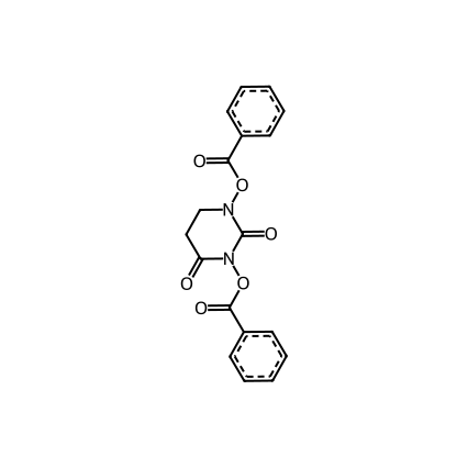 O=C(ON1CCC(=O)N(OC(=O)c2ccccc2)C1=O)c1ccccc1